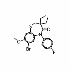 CCC1(CC)CSc2cc(OC)c(Br)cc2N(c2ccc(F)cc2)C1=O